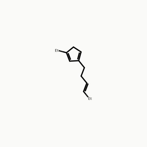 CCC=CCCC1=CCC(CC)=C1